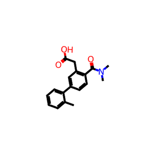 Cc1ccccc1-c1ccc(C(=O)N(C)C)c(CC(=O)O)c1